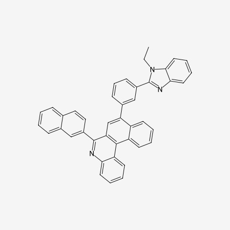 CCn1c(-c2cccc(-c3cc4c(-c5ccc6ccccc6c5)nc5ccccc5c4c4ccccc34)c2)nc2ccccc21